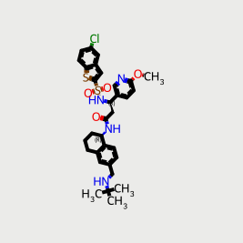 COc1ccc([C@@H](CC(=O)N[C@@H]2CCCc3cc(CNC(C)(C)C)ccc32)NS(=O)(=O)c2cc3cc(Cl)ccc3s2)cn1